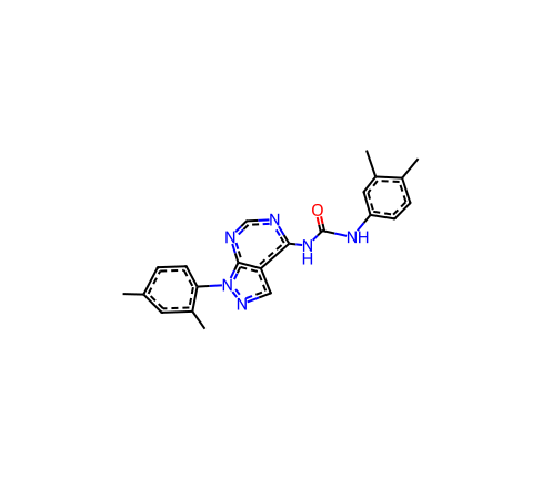 Cc1ccc(-n2ncc3c(NC(=O)Nc4ccc(C)c(C)c4)ncnc32)c(C)c1